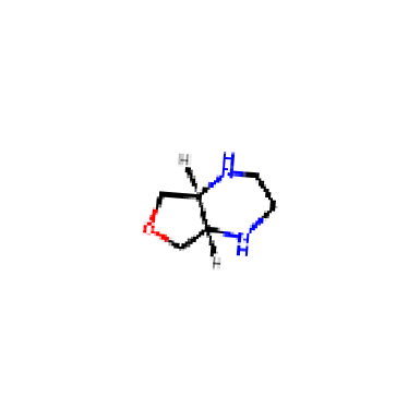 C1CN[C@@H]2COC[C@@H]2N1